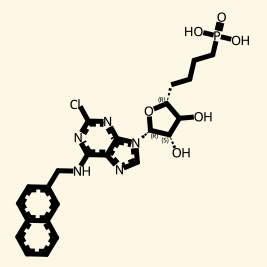 O=P(O)(O)CCCC[C@H]1O[C@@H](n2cnc3c(NCc4ccc5ccccc5c4)nc(Cl)nc32)[C@@H](O)C1O